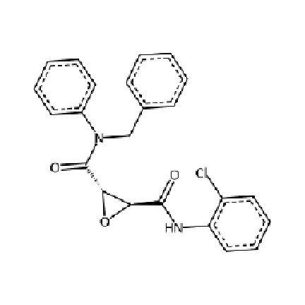 O=C(Nc1ccccc1Cl)[C@H]1O[C@@H]1C(=O)N(Cc1ccccc1)c1ccccc1